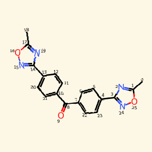 Cc1nc(-c2ccc(C(=O)c3ccc(-c4noc(C)n4)cc3)cc2)no1